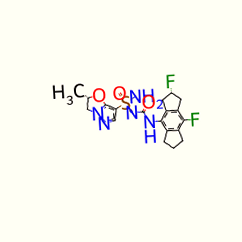 C[C@H]1Cn2ncc(S(N)(=O)=NC(=O)Nc3c4c(c(F)c5c3C[C@H](F)C5)CCC4)c2O1